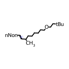 CCCCCCCCC/C=C/C(C)CCCCCCOCCC(C)(C)C